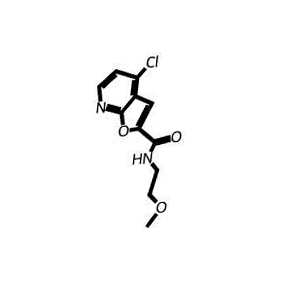 COCCNC(=O)c1cc2c(Cl)ccnc2o1